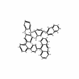 c1ccc2c(c1)Oc1cc(-c3ccccc3-c3ccc(-c4c5ccccc5cc5ccccc45)cc3)cc3c1N2c1ccc(-c2ccc4ccccc4c2)cc1O3